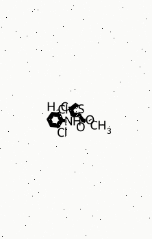 COC(=O)c1scc(C)c1Nc1c(Cl)cccc1Cl